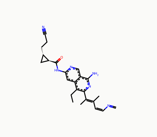 C=N/C=C\C(C)=C(/C)c1nc(N)c2cnc(NC(=O)[C@H]3C[C@@H]3CCC#N)cc2c1CC